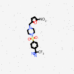 O=[N+]([O-])c1ccc(CN2CCN(S(=O)(=O)c3ccc(C4(C(F)(F)F)N=N4)cc3)CC2)o1